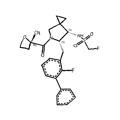 N#C[C@@]1(C(=O)N2CC3(CC3)[C@H](NS(=O)(=O)CF)[C@@H]2Cc2cccc(-c3ccccc3)c2F)CCO1